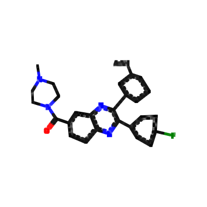 CC(=O)Nc1cccc(-c2nc3cc(C(=O)N4CCN(C)CC4)ccc3nc2-c2ccc(F)cc2)c1